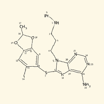 CC(C)NCCCn1c(Sc2cc3c(cc2I)OC(C)O3)nc2c(N)ncnc21